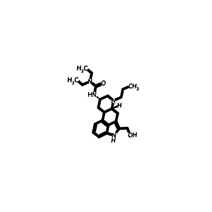 CCCN1C[C@@H](NC(=O)N(CC)CC)CC2c3cccc4[nH]c(CO)c(c34)C[C@H]21